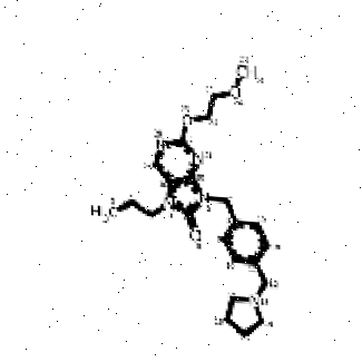 CCCn1c(=O)n(Cc2ccc(CN3CCCC3)cc2)c2nc(OCCOC)ncc21